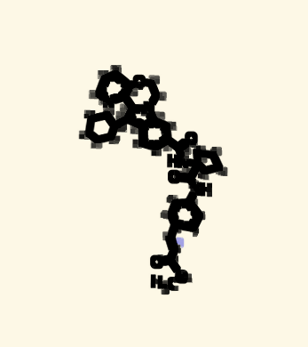 COC(=O)/C=C/c1ccc(NC(=O)C2(NC(=O)c3ccc4c(C5CCCCC5)c5n(c4c3)CCOc3cccnc3-5)CCCC2)cc1